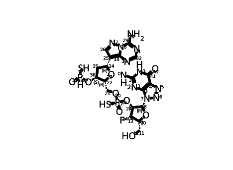 Nc1nc2c(nnn2[C@@H]2O[C@H](CO)[C@H](F)[C@H]2OP(=O)(S)OC[C@H]2O[C@@H](c3cnn4c(N)ncnc34)C[C@@H]2O[PH](=O)S)c(=O)[nH]1